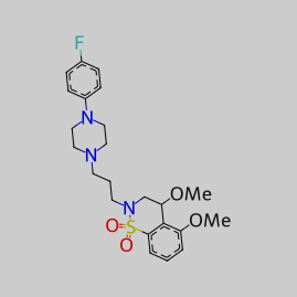 COc1cccc2c1C(OC)CN(CCCN1CCN(c3ccc(F)cc3)CC1)S2(=O)=O